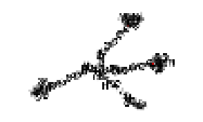 CC(=O)N[C@H]1[C@H]2OC[C@](COCCOCCOCCOCCn3cc(COCC(COCc4cn(CCOCCOCCOCCOCC[C@@]56COC(O5)[C@H](NC(C)=O)[C@H]5OC(C)(C)O[C@H]56)nn4)(COCc4cn(CCOCCOCCOCCOC[C@@]56COC(O5)[C@H](NC(C)=O)[C@H]5OC(C)(C)O[C@H]56)nn4)NC(=O)CCCCCNC(=O)CCCCCNC(=O)OCc4ccccc4)nn3)(O2)[C@@H]2OC(C)(C)O[C@H]12